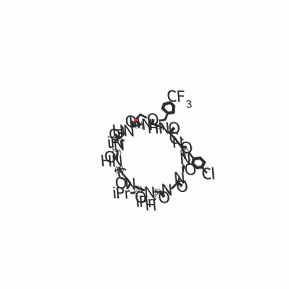 CC(C)C[C@@H]1NC(=O)[C@H](CC(C)C)N(C)C(=O)C[C@@H](C)NC(=O)[C@H](CC(C)C)N(C)C(=O)C(C)(C)NC(=O)[C@@H]2CCCN2C(=O)[C@H](CCc2ccc(C(F)(F)F)cc2)NC(=O)CN(C)C(=O)[C@H](Cc2ccc(Cl)cc2)N(C)C(=O)CN(C)C(=O)CN(C)C1=O